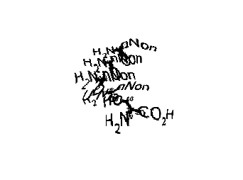 CCCCCCCCCC(N)=O.CCCCCCCCCC(N)=O.CCCCCCCCCC(N)=O.CCCCCCCCCC(N)=O.NC(CO)C(=O)O